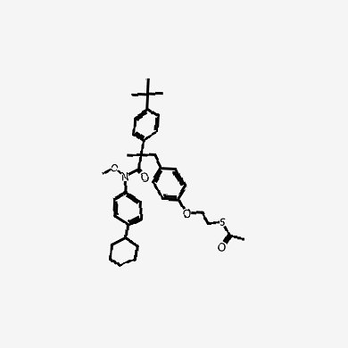 CON(C(=O)C(C)(Cc1ccc(OCCSC(C)=O)cc1)c1ccc(C(C)(C)C)cc1)c1ccc(C2CCCCC2)cc1